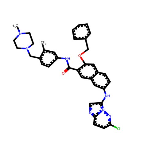 CN1CCN(Cc2ccc(NC(=O)c3cc4cc(Nc5cnc6ccc(Cl)nn56)ccc4cc3OCc3ccccc3)cc2C(F)(F)F)CC1